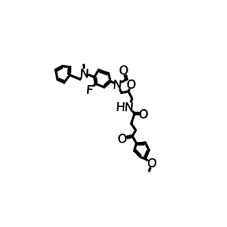 COc1ccc(C(=O)CCC(=O)NCC2CN(c3ccc(N(C)Cc4ccccc4)c(F)c3)C(=O)O2)cc1